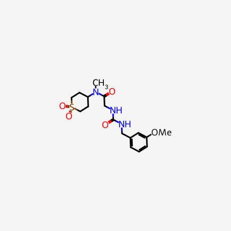 COc1cccc(CNC(=O)NCC(=O)N(C)C2CCS(=O)(=O)CC2)c1